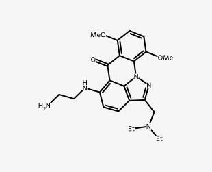 CCN(CC)Cc1nn2c3c(OC)ccc(OC)c3c(=O)c3c(NCCN)ccc1c32